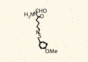 COc1ccc(CSN=CCCCC(=O)N(N)C=O)cc1